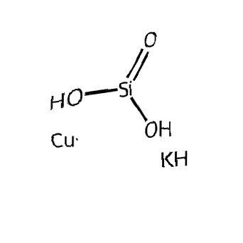 O=[Si](O)O.[Cu].[KH]